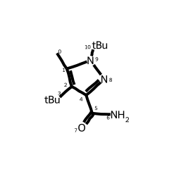 Cc1c(C(C)(C)C)c(C(N)=O)nn1C(C)(C)C